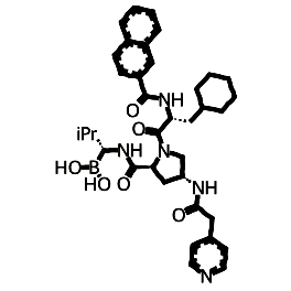 CC(C)[C@H](NC(=O)[C@@H]1C[C@@H](NC(=O)Cc2ccncc2)CN1C(=O)[C@@H](CC1CCCCC1)NC(=O)c1ccc2ccccc2c1)B(O)O